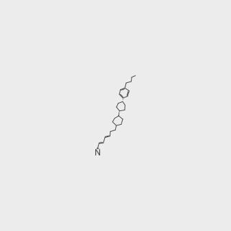 CCCCc1ccc([C@H]2CC[C@H](C3CCC(CC/C=C/C=C/C#N)CC3)CC2)cc1